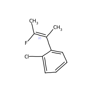 C/C(F)=C(\C)c1ccccc1Cl